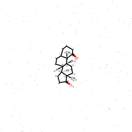 C[C@]12C(=O)CCCC1CC[C@@H]1[C@H]2CC[C@]2(C)C(=O)CC[C@@H]12